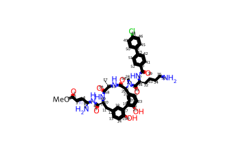 COC(=O)/C=C/[C@H](N)NC(=O)[C@@H]1Cc2ccc(O)c(c2)-c2cc(ccc2O)[C@H](N(C)C(=O)[C@H](CCCCN)NC(=O)c2ccc(-c3ccc(Cl)cc3)cc2)C(=O)N[C@@H](C)C(=O)N1